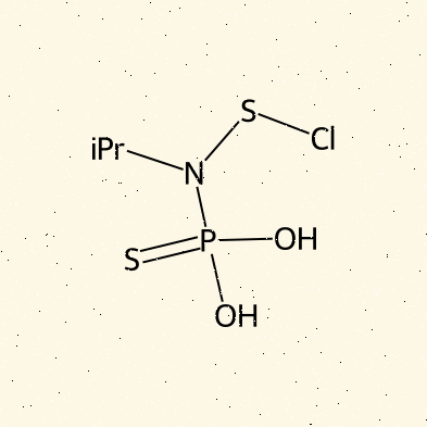 CC(C)N(SCl)P(O)(O)=S